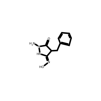 NN1NC(=NO)C(Cc2ccccc2)C1=O